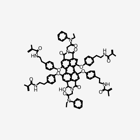 C=C(C)C(=O)NCCc1ccc(Oc2cc3c4c(cc(Oc5ccc(CCNC(=O)C(=C)C)cc5)c5c6c(Oc7ccc(CCNC(=O)C(=C)C)cc7)cc7c8c(cc(Oc9ccc(CCNC(=O)C(=C)C)cc9)c(c2c45)c86)C(=O)N(CC(=O)N(CC)c2ccccc2)C7O)C(=O)N(CC(=O)N(CC)c2ccccc2)C3=O)cc1